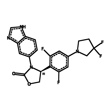 O=C1OC[C@H](c2c(F)cc(N3CCC(F)(F)C3)cc2F)N1c1ccc2[nH]cnc2c1